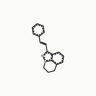 C(=C\c1nn2c3c(cccc13)CCC2)/c1ccccc1